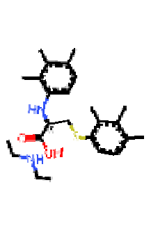 CCNCC.Cc1ccc(N[C@@H](CSc2ccc(C)c(C)c2C)C(=O)O)c(C)c1C